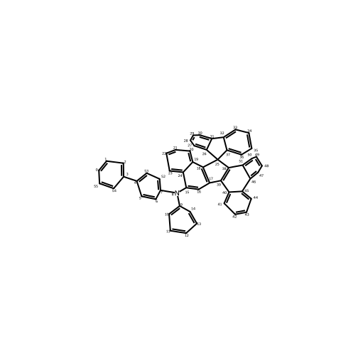 c1ccc(-c2ccc(N(c3ccccc3)c3cc4c(c5ccccc35)C3(c5ccccc5-c5ccccc53)c3c-4c4ccccc4c4ccccc34)cc2)cc1